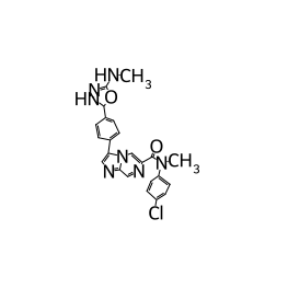 CNC1=NNC(c2ccc(-c3cnc4cnc(C(=O)N(C)c5ccc(Cl)cc5)cn34)cc2)O1